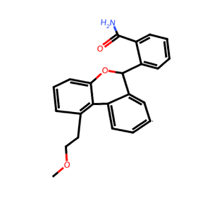 COCCc1cccc2c1-c1cc[c]cc1C(c1ccccc1C(N)=O)O2